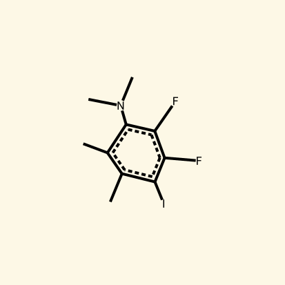 Cc1c(C)c(N(C)C)c(F)c(F)c1I